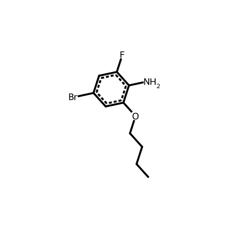 CCCCOc1cc(Br)cc(F)c1N